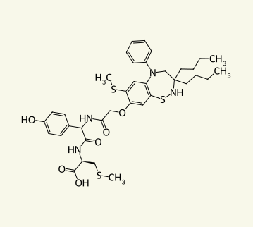 CCCCC1(CCCC)CN(c2ccccc2)c2cc(SC)c(OCC(=O)NC(C(=O)N[C@@H](CSC)C(=O)O)c3ccc(O)cc3)cc2SN1